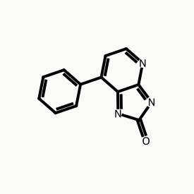 O=C1N=c2nccc(-c3ccccc3)c2=N1